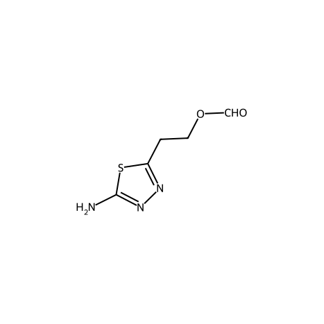 Nc1nnc(CCOC=O)s1